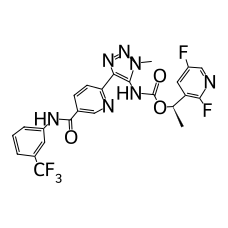 C[C@@H](OC(=O)Nc1c(-c2ccc(C(=O)Nc3cccc(C(F)(F)F)c3)cn2)nnn1C)c1cc(F)cnc1F